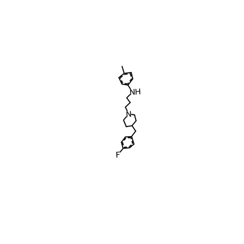 Cc1ccc(NCCCN2CCC(Cc3ccc(F)cc3)CC2)cc1